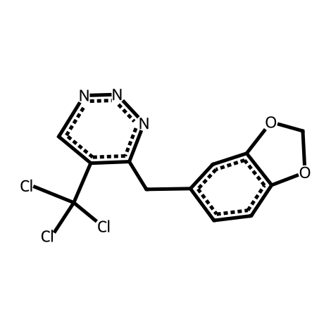 ClC(Cl)(Cl)c1cnnnc1Cc1ccc2c(c1)OCO2